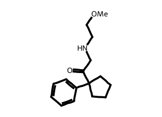 COCCNCC(=O)C1(c2ccccc2)CCCC1